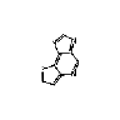 C1=Nc2c3c(ncc2=N1)=CCS3